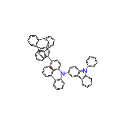 c1ccc(-c2ccccc2N(c2ccc(-c3ccc4c(c3)-c3c5cccc3-c3cccc-4c3-c3ccccc3-5)cc2)c2ccc3c(c2)c2ccccc2n3-c2ccccc2)cc1